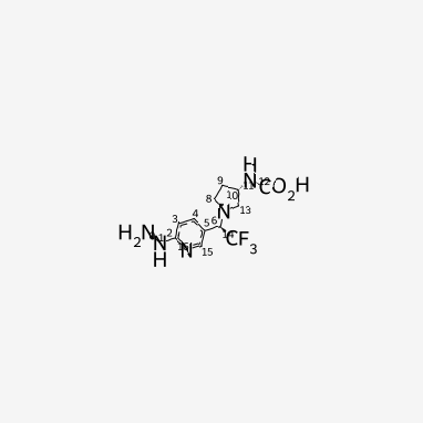 NNc1ccc([C@@H](N2CC[C@H](NC(=O)O)C2)C(F)(F)F)cn1